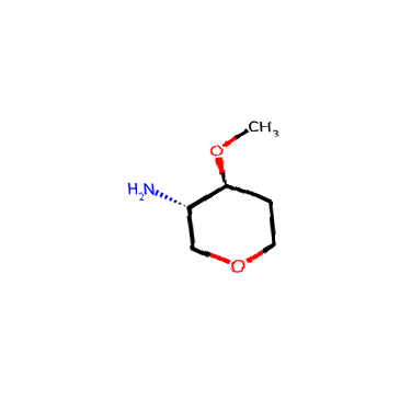 CO[C@H]1CCOC[C@@H]1N